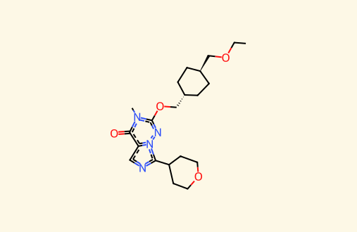 CCOC[C@H]1CC[C@H](COc2nn3c(C4CCOCC4)ncc3c(=O)n2C)CC1